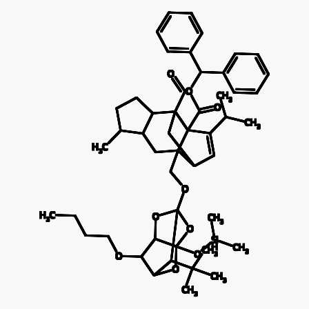 CCCCOC1C2OC3(O[SiH](C)C)OC(OCC45CC6C(C)CCC6C6(C=O)CC4C=C(C(C)C)C65C(=O)OC(c4ccccc4)c4ccccc4)(OC13)C2C(C)(C)C